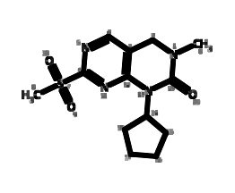 CN1Cc2cnc(S(C)(=O)=O)nc2N(C2CCCC2)C1=O